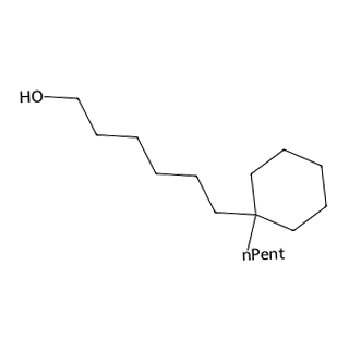 CCCCCC1(CCCCCCO)CCCCC1